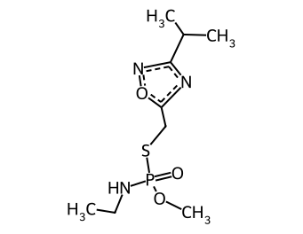 CCNP(=O)(OC)SCc1nc(C(C)C)no1